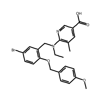 CCN(Cc1cc(Br)ccc1OCc1ccc(OC)cc1)c1ncc(C(=O)O)cc1C